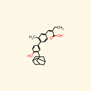 CCC(=Cc1ccc(-c2ccc(O)c(C34CC5CC(CC(C5)C3)C4)c2)c(C)c1)C(=O)O